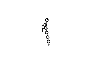 C=CC1CCC(C2CCC(C3CC=C(c4ccc(OCCCOC)c(F)c4F)CC3)CC2)CC1